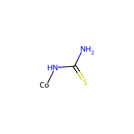 NC(=S)[NH][Co]